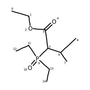 CCOC(=O)C(C(C)C)P(=O)(CC)CC